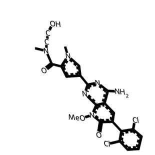 COn1c(=O)c(-c2c(Cl)cccc2Cl)cc2c(N)nc(-c3cc(C(=O)N(C)CCO)n(C)c3)nc21